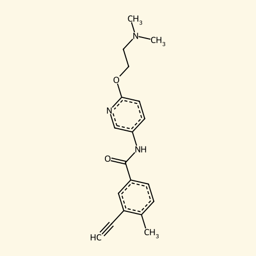 C#Cc1cc(C(=O)Nc2ccc(OCCN(C)C)nc2)ccc1C